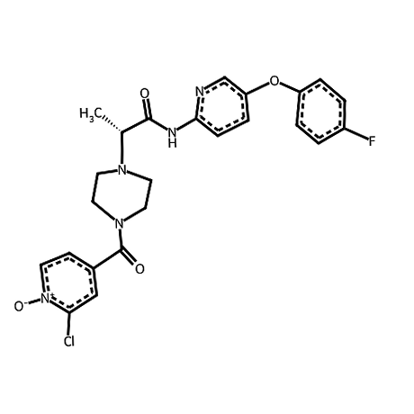 C[C@H](C(=O)Nc1ccc(Oc2ccc(F)cc2)cn1)N1CCN(C(=O)c2cc[n+]([O-])c(Cl)c2)CC1